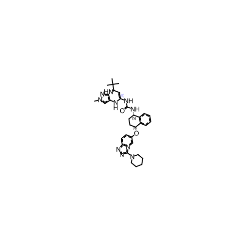 Cn1cc(N/C(=C\C(=N)C(C)(C)C)NC(=O)N[C@H]2CC[C@@H](Oc3ccc4nnc(N5CCCCC5)n4c3)c3ccccc32)cn1